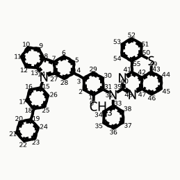 Cc1cc(-c2ccc3c4ccccc4n(-c4ccc(-c5ccccc5)cc4)c3c2)ccc1N(c1ccccc1)c1nc2c3c(cccc3n1)Sc1ccccc1-2